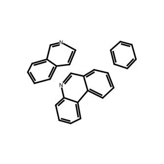 c1ccc2c(c1)cnc1ccccc12.c1ccc2cnccc2c1.c1ccccc1